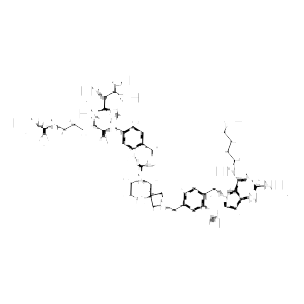 CCCCCNc1nc(N)nc2ccn(Cc3ccc(CN4CC5(C4)CN(C(=O)OCc4ccc(NC(=O)[C@H](CCCNC(N)=O)NC(=O)[C@@H](N)C(C)C)cc4)CCO5)cc3OC)c12